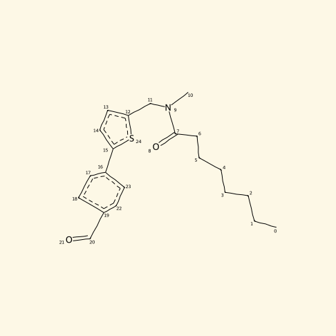 CCCCCCCC(=O)N(C)Cc1ccc(-c2ccc(C=O)cc2)s1